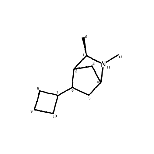 C[C@@H]1C2CC(CC2C2CCC2)N1C